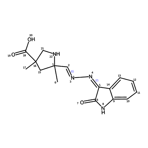 CC1(/C=N/N=C2\C(=O)Nc3ccccc32)CC(C)(C(=O)O)CN1